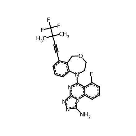 CC(C)(C#Cc1cccc2c1COCCN2c1nc2nnc(N)n2c2cccc(F)c12)C(F)(F)F